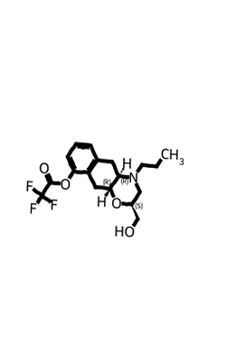 CCCN1C[C@@H](CO)O[C@@H]2Cc3c(cccc3OC(=O)C(F)(F)F)C[C@H]21